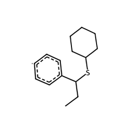 CCC(SC1CCCCC1)c1cc[c]cc1